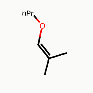 CCCOC=C(C)C